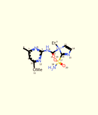 CC[N+]1(C(=O)Nc2nc(C)cc(OC)n2)C=CN=C1S(N)(=O)=O